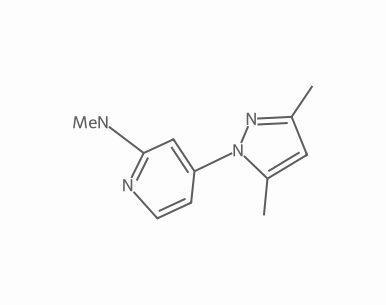 CNc1cc(-n2nc(C)cc2C)ccn1